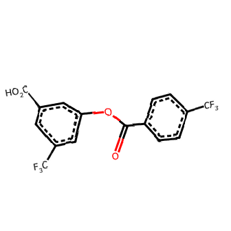 O=C(O)c1cc(OC(=O)c2ccc(C(F)(F)F)cc2)cc(C(F)(F)F)c1